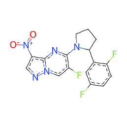 O=[N+]([O-])c1cnn2cc(F)c(N3CCCC3c3cc(F)ccc3F)nc12